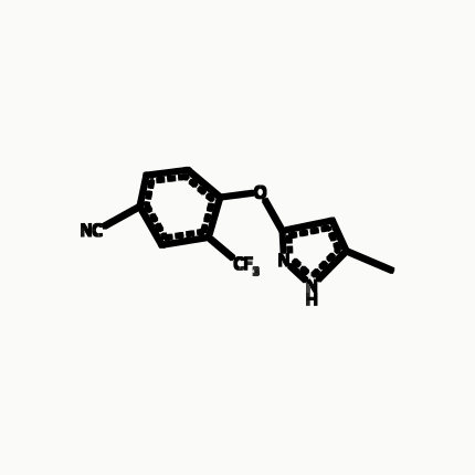 Cc1cc(Oc2ccc(C#N)cc2C(F)(F)F)n[nH]1